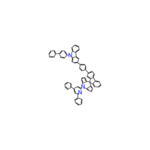 c1ccc(-c2ccc(-n3c4ccccc4c4cc(-c5ccc(-c6ccc7c(c6)C6(c8ccccc8-7)c7ccccc7N(c7cc(-c8ccccc8)cc(-c8ccccc8)n7)c7ccccc76)cc5)ccc43)cc2)cc1